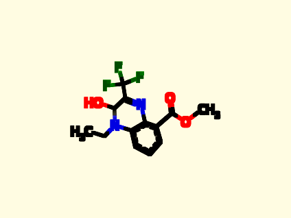 CCN1c2cccc(C(=O)OC)c2N=C(C(F)(F)F)C1O